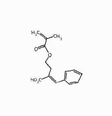 C=C(C)C(=O)OCCC(=Cc1ccccc1)C(=O)O